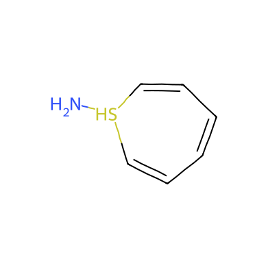 N[SH]1C=CC=CC=C1